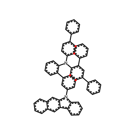 c1ccc(-c2ccc(N(c3ccccc3-c3cccc(-n4c5ccccc5c5cc6ccccc6cc54)c3)c3ccc(-c4ccccc4)cc3-c3ccccc3)cc2)cc1